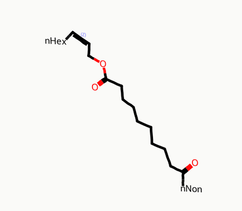 CCCCCC/C=C\COC(=O)CCCCCCCCC(=O)CCCCCCCCC